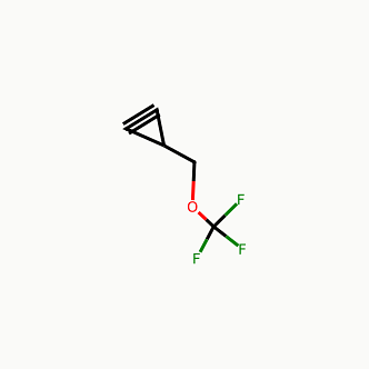 FC(F)(F)OCC1C#C1